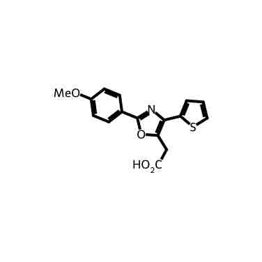 COc1ccc(-c2nc(-c3cccs3)c(CC(=O)O)o2)cc1